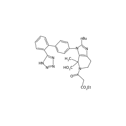 CCCCc1nc2c(n1-c1ccc(-c3ccccc3-c3nnn[nH]3)cc1)C(C)(C(=O)O)N(C(=O)CC(=O)OCC)CC2